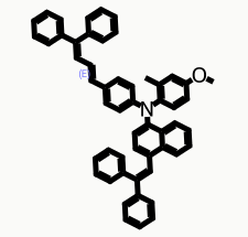 COc1ccc(N(c2ccc(/C=C/C=C(c3ccccc3)c3ccccc3)cc2)c2ccc(C=C(c3ccccc3)c3ccccc3)c3ccccc23)c(C)c1